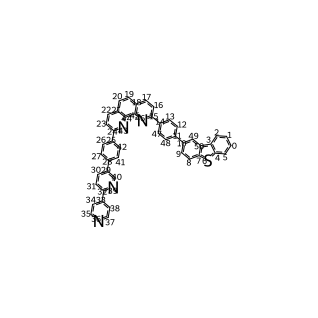 c1ccc2c(c1)sc1ccc(-c3ccc(-c4ccc5ccc6ccc(-c7ccc(-c8ccc(-c9ccncc9)nc8)cc7)nc6c5n4)cc3)cc12